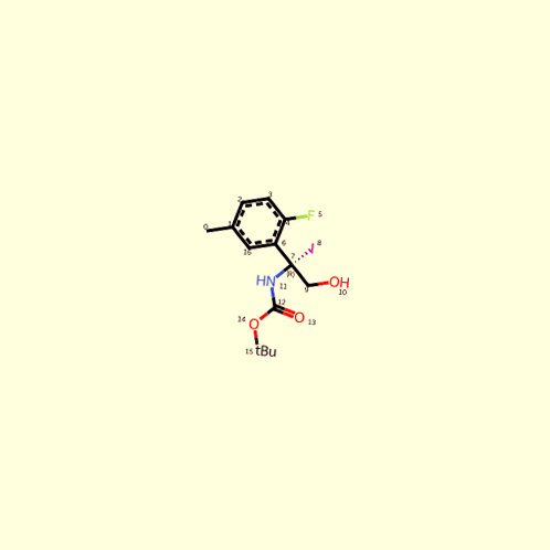 Cc1ccc(F)c([C@@](I)(CO)NC(=O)OC(C)(C)C)c1